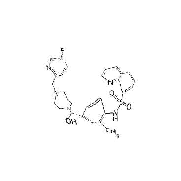 Cc1cc(C(O)N2CCN(Cc3ccc(F)cn3)CC2)ccc1NS(=O)(=O)c1cccc2cccnc12